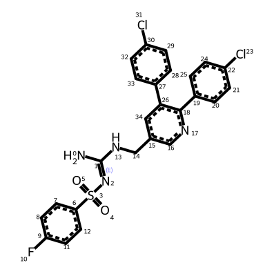 N/C(=N\S(=O)(=O)c1ccc(F)cc1)NCc1cnc(-c2ccc(Cl)cc2)c(-c2ccc(Cl)cc2)c1